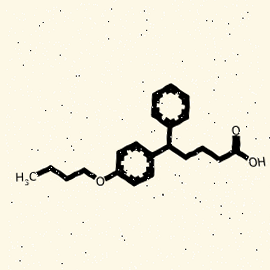 CCCCOc1ccc(C(CCCC(=O)O)c2ccccc2)cc1